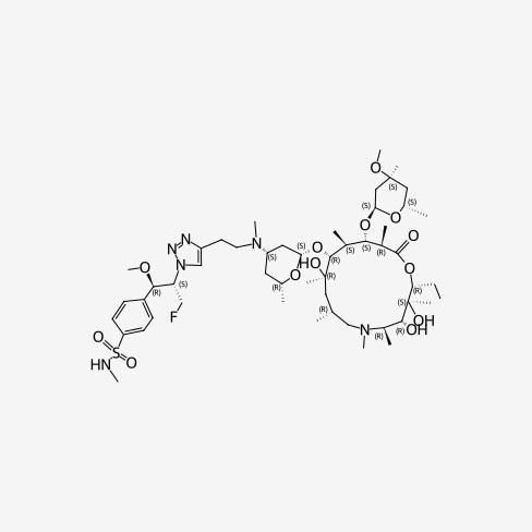 CC[C@H]1OC(=O)[C@H](C)[C@@H](O[C@H]2C[C@@](C)(OC)C[C@H](C)O2)[C@H](C)[C@@H](O[C@H]2C[C@@H](N(C)CCc3cn([C@H](CF)[C@H](OC)c4ccc(S(=O)(=O)NC)cc4)nn3)C[C@@H](C)O2)[C@](C)(O)C[C@@H](C)CN(C)[C@H](C)[C@@H](O)[C@]1(C)O